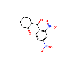 O=C1CCCC[C@H]1[C@@H](O)c1ccc([N+](=O)[O-])cc1[N+](=O)[O-]